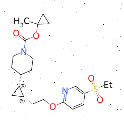 CCS(=O)(=O)c1ccc(OCC[C@@H]2C[C@@H]2C2CCN(C(=O)OC3(C)CC3)CC2)nc1